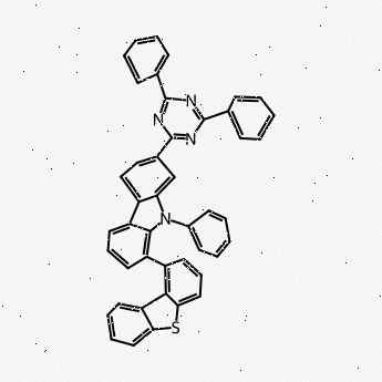 c1ccc(-c2nc(-c3ccccc3)nc(-c3ccc4c5cccc(-c6cccc7sc8ccccc8c67)c5n(-c5ccccc5)c4c3)n2)cc1